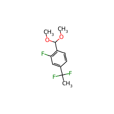 COC(OC)c1ccc(C(C)(F)F)cc1F